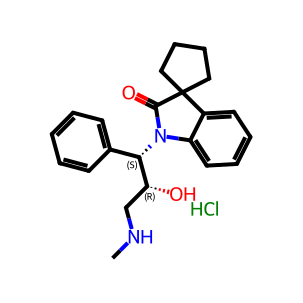 CNC[C@@H](O)[C@H](c1ccccc1)N1C(=O)C2(CCCC2)c2ccccc21.Cl